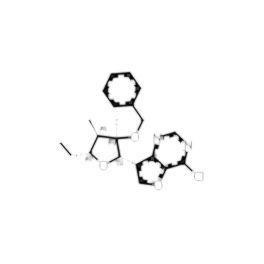 CC[C@H]1O[C@@H](c2coc3c(Cl)ncnc23)[C@](C)(OCc2ccccc2)[C@@H]1C